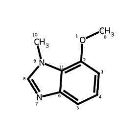 COc1cccc2ncn(C)c12